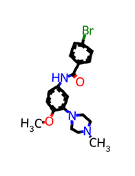 COc1ccc(NC(=O)c2ccc(Br)cc2)cc1N1CCN(C)CC1